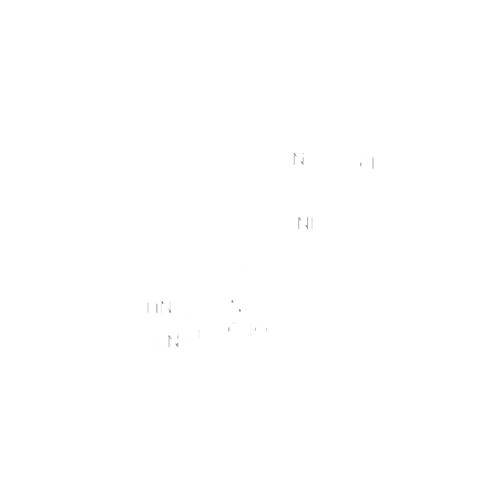 Cc1ncc(Cl)cc1N[C@@H](C)c1ccc(N(C=O)[C@@H](CC2CCCC2)C(=O)NC2(C#N)CC2)s1